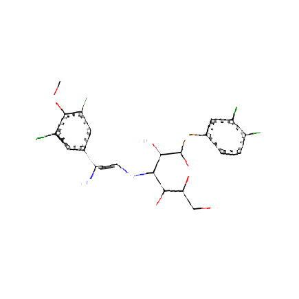 COc1c(F)cc(/C(N)=C/NC2C(O)C(CO)OC(Sc3ccc(Cl)c(Cl)c3)C2O)cc1F